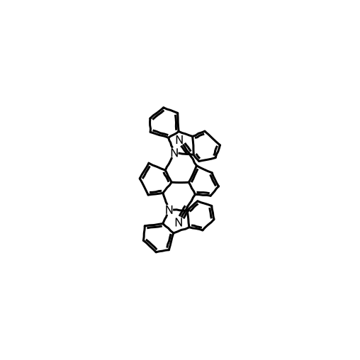 N#Cc1cccc(C#N)c1-c1c(-n2c3ccccc3c3ccccc32)cccc1-n1c2ccccc2c2ccccc21